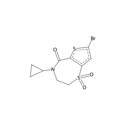 O=C1c2sc(Br)cc2S(=O)(=O)CCN1C1CC1